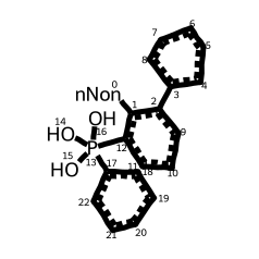 CCCCCCCCCc1c(-c2ccccc2)cccc1P(O)(O)(O)c1ccccc1